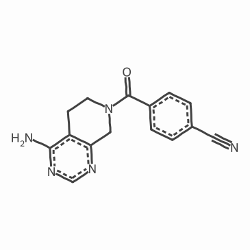 N#Cc1ccc(C(=O)N2CCc3c(N)ncnc3C2)cc1